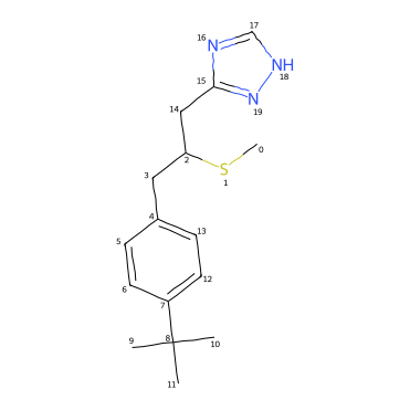 CSC(Cc1ccc(C(C)(C)C)cc1)Cc1nc[nH]n1